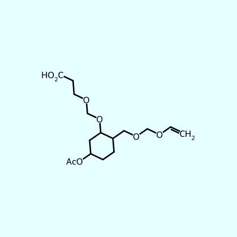 C=COCOCC1CCC(OC(C)=O)CC1OCOCCC(=O)O